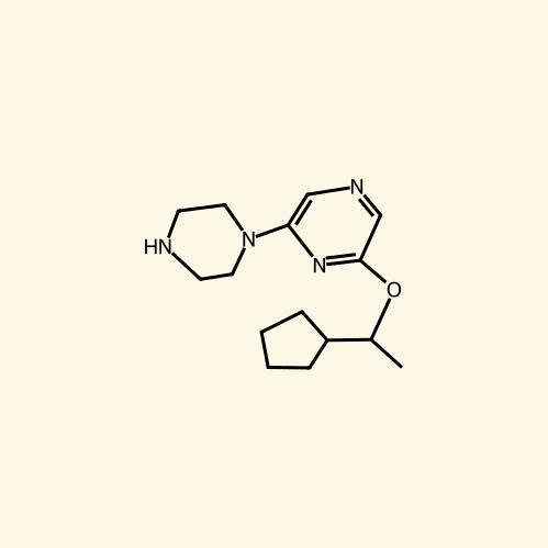 CC(Oc1cncc(N2CCNCC2)n1)C1CCCC1